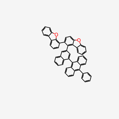 c1ccc(-c2c3ccccc3c(-c3cc(-c4c(-c5cccc6c5oc5ccccc56)ccc5oc6ccccc6c45)cc4ccccc34)c3ccccc23)cc1